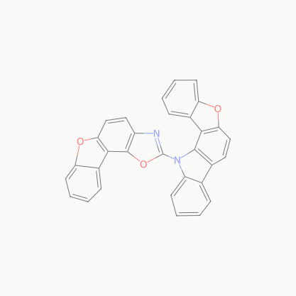 c1ccc2c(c1)oc1ccc3nc(-n4c5ccccc5c5ccc6oc7ccccc7c6c54)oc3c12